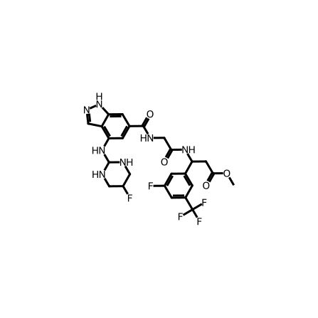 COC(=O)CC(NC(=O)CNC(=O)c1cc(NC2NCC(F)CN2)c2cn[nH]c2c1)c1cc(F)cc(C(F)(F)F)c1